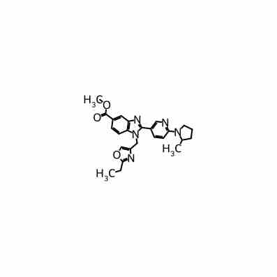 CCc1nc(Cn2c(-c3ccc(N4CCCC4C)nc3)nc3cc(C(=O)OC)ccc32)co1